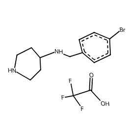 Brc1ccc(CNC2CCNCC2)cc1.O=C(O)C(F)(F)F